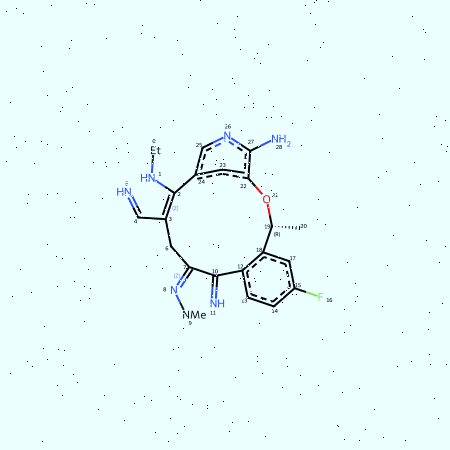 CCN/C1=C(\C=N)C/C(=N/NC)C(=N)c2ccc(F)cc2[C@@H](C)Oc2cc1cnc2N